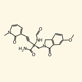 COc1ccc2c(c1)C(=O)N(C[C@@](C#Cc1cccn(C)c1=O)(NC=O)C(N)=O)C2